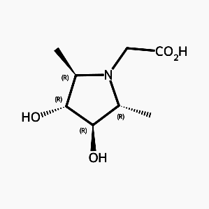 C[C@@H]1[C@@H](O)[C@H](O)[C@@H](C)N1CC(=O)O